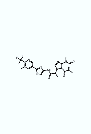 CNC(=O)c1c(N(C)C=O)ncn1C(C)C(=O)Nc1csc(-c2cnc(C(F)(F)F)c(C)c2)n1